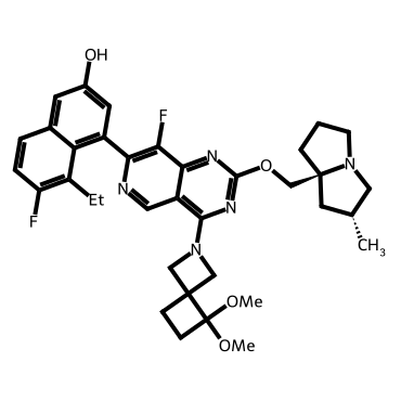 CCc1c(F)ccc2cc(O)cc(-c3ncc4c(N5CC6(CCC6(OC)OC)C5)nc(OC[C@@]56CCCN5C[C@H](C)C6)nc4c3F)c12